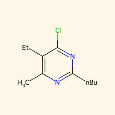 CCCCc1nc(C)c(CC)c(Cl)n1